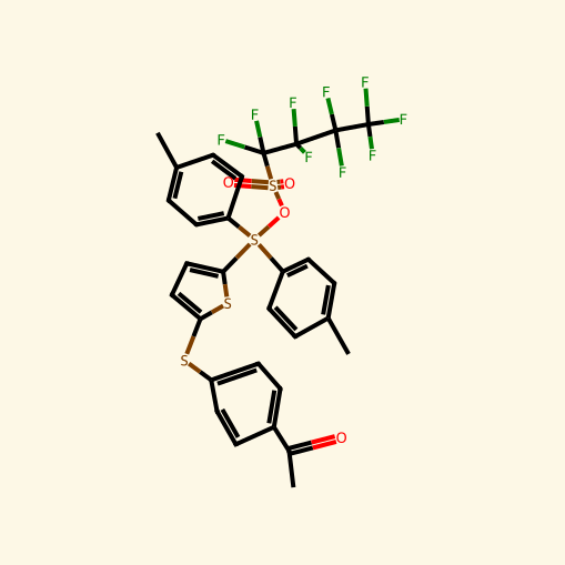 CC(=O)c1ccc(Sc2ccc(S(OS(=O)(=O)C(F)(F)C(F)(F)C(F)(F)C(F)(F)F)(c3ccc(C)cc3)c3ccc(C)cc3)s2)cc1